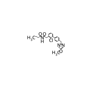 CCCC(=O)NC(=O)Cc1cccc(-c2ccc(Cc3ncc(OC)cn3)cc2)c1Cl